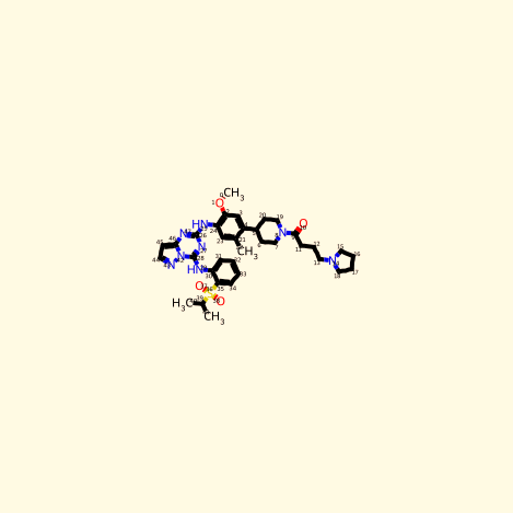 COc1cc(C2CCN(C(=O)CCCN3CCCC3)CC2)c(C)cc1Nc1nc(Nc2ccccc2S(=O)(=O)C(C)C)n2nccc2n1